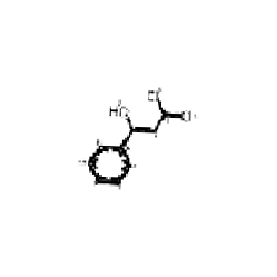 OC(=CC(Cl)Cl)c1ccccc1